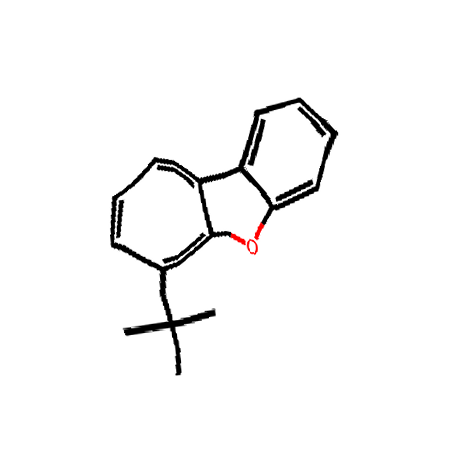 CC(C)(C)c1cccc2c1oc1ccccc12